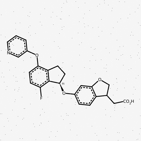 O=C(O)CC1COc2cc(O[C@@H]3CCc4c(Oc5cccnc5)ccc(F)c43)ccc21